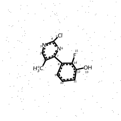 Cc1cnc(Cl)nc1-c1cccc(O)c1F